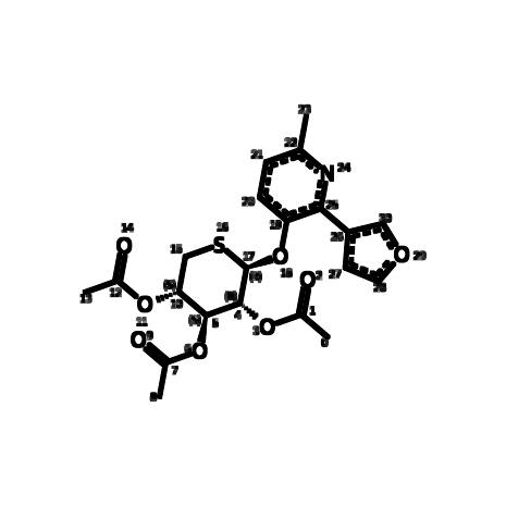 CC(=O)O[C@@H]1[C@@H](OC(C)=O)[C@H](OC(C)=O)CS[C@H]1Oc1ccc(C)nc1-c1ccoc1